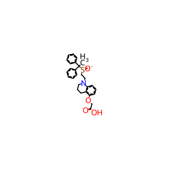 CC(c1ccccc1)(c1ccccc1)[S+]([O-])CCN1CCCc2c(OCC(=O)O)cccc21